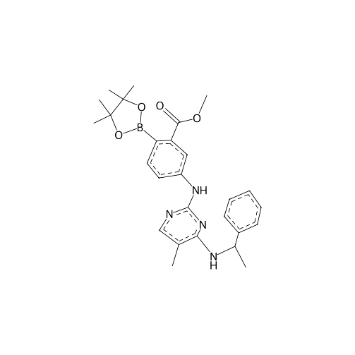 COC(=O)c1cc(Nc2ncc(C)c(NC(C)c3ccccc3)n2)ccc1B1OC(C)(C)C(C)(C)O1